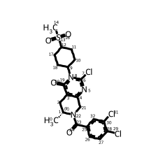 C[C@@H]1Cc2c(nc(Cl)n(C3CCC(S(C)(=O)=O)CC3)c2=O)CN1C(=O)c1ccc(Cl)c(Cl)c1